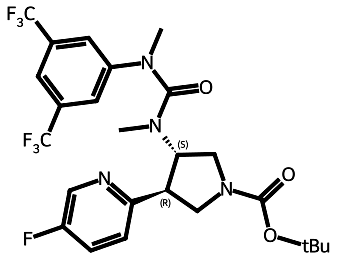 CN(C(=O)N(C)[C@@H]1CN(C(=O)OC(C)(C)C)C[C@H]1c1ccc(F)cn1)c1cc(C(F)(F)F)cc(C(F)(F)F)c1